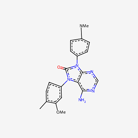 CNc1ccc(-n2c(=O)n(-c3ccc(C)c(OC)c3)c3c(N)ncnc32)cc1